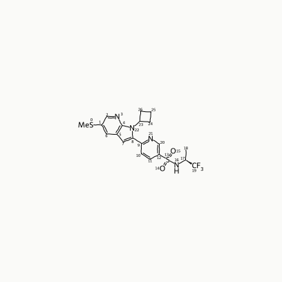 CSc1cnc2c(c1)cc(-c1ccc(S(=O)(=O)N[C@@H](C)C(F)(F)F)cn1)n2C1CCC1